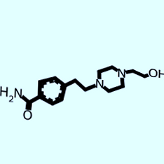 NC(=O)c1ccc(CCN2CCN(CCO)CC2)cc1